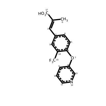 C/C(=C\c1ccc(Oc2cccnc2)c(C(F)(F)F)c1)C(=O)O